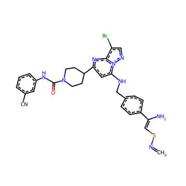 C=NS/C=C(\N)c1ccc(CNc2cc(C3CCN(C(=O)Nc4cccc(C#N)c4)CC3)nc3c(Br)cnn23)cc1